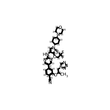 CC(Cn1cnnn1)Oc1cc(-c2cnc(Nc3cn([C@H]4CC[C@H](N5CCOCC5)CC4)nc3OCC(F)(F)F)nc2)ccc1C#N